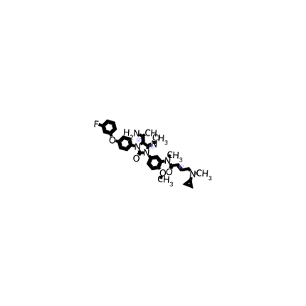 C/N=C1\C(=C(/C)N)N(c2ccc(Oc3cccc(F)c3)cc2)C(=O)N1c1ccc(OC)c(N(C)C(=O)/C=C/CN(C)C2CC2)c1